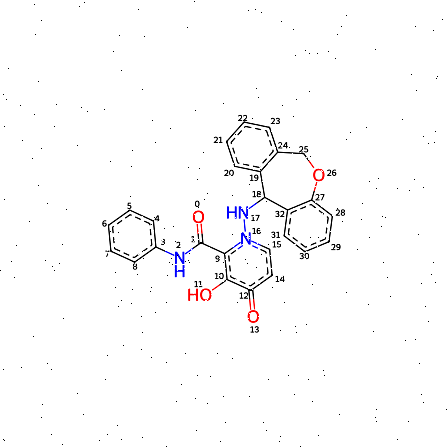 O=C(Nc1ccccc1)c1c(O)c(=O)ccn1NC1c2ccccc2COc2ccccc21